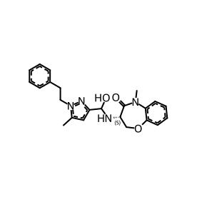 Cc1cc(C(O)N[C@H]2COc3ccccc3N(C)C2=O)nn1CCc1ccccc1